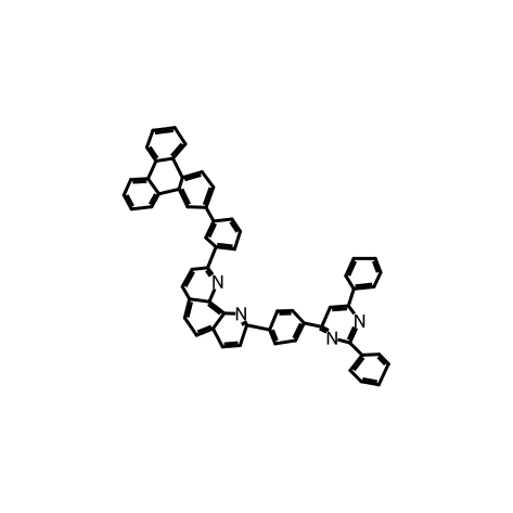 c1ccc(-c2cc(-c3ccc(-c4ccc5ccc6ccc(-c7cccc(-c8ccc9c%10ccccc%10c%10ccccc%10c9c8)c7)nc6c5n4)cc3)nc(-c3ccccc3)n2)cc1